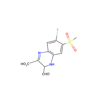 CS(=O)(=O)c1cc2c(cc1F)N=C(C(=O)O)C(C=O)N2